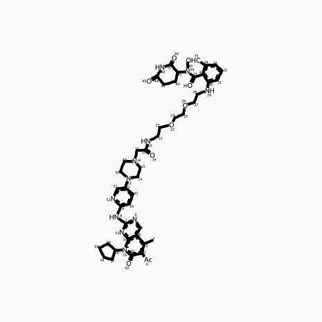 CC(=O)c1c(C)c2cnc(Nc3ccc(N4CCN(CC(=O)NCCOCCOCCNc5cccc(C=O)c5C(=O)N(C)C5CCC(=O)NC5=O)CC4)cn3)nc2n(C2CCCC2)c1=O